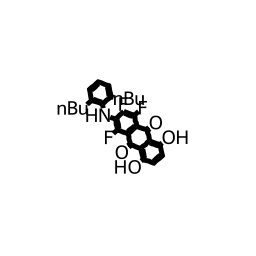 CCCCc1cccc(CCCC)c1Nc1c(F)c(F)c2c(c1F)C(=O)c1c(O)ccc(O)c1C2=O